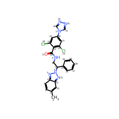 Cc1ccc2nn(C(CNC(=O)c3c(Cl)cc(-n4cnnc4)cc3Cl)c3ccccc3)nc2c1